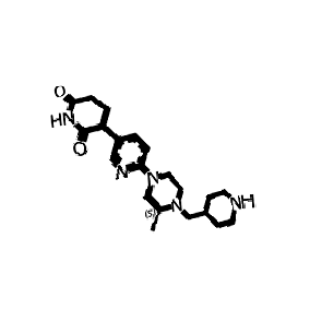 C[C@H]1CN(c2ccc(C3CCC(=O)NC3=O)cn2)CCN1CC1CCNCC1